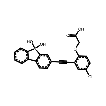 O=C(O)COc1ccc(Cl)cc1C#Cc1ccc2c(c1)S(O)(O)c1ccccc1-2